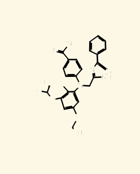 CCOc1cc(OC(C)C)c(F)c(N(Cc2nc(-c3ccccc3)n[nH]2)c2ccc(C(=N)N)cc2)c1